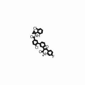 CNC(=O)c1c(-c2ccc(F)cc2)oc2ccc(-c3cc(C(=O)NC4(c5ccccc5Cl)CC4)ccc3Cl)cc12